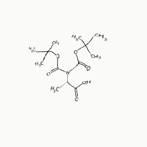 C[C@@H](C(=O)O)N(C(=O)OC(C)(C)C)C(=O)OC(C)(C)C